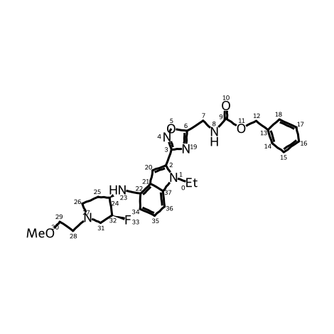 CCn1c(-c2noc(CNC(=O)OCc3ccccc3)n2)cc2c(N[C@@H]3CCN(CCOC)C[C@@H]3F)cccc21